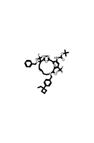 CCC1(c2ccc(CN3CC/C=C/CC(OCc4ccccc4)(C(F)(F)F)c4nnc(o4)-c4nc(c(C(F)(F)F)cc4NC(=O)OC(C)(C)C)C3=O)cc2)CCC1